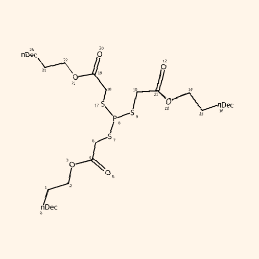 CCCCCCCCCCCCOC(=O)CSP(SCC(=O)OCCCCCCCCCCCC)SCC(=O)OCCCCCCCCCCCC